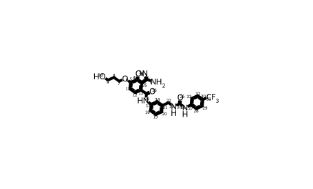 Nc1noc2c(OCCCO)ccc(C(=O)Nc3cccc(CNC(=O)Nc4ccc(C(F)(F)F)cc4)c3)c12